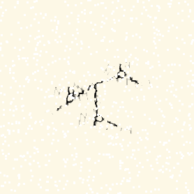 N#CC(C#N)=C1CC(OCCO)CC(NCCOCCN(CCOCCNC2=C(C#N)C(=C(C#N)C#N)CC(OCCO)C2)CCOCCNC2=C(C#N)C(=C(C#N)C#N)CC(OCCO)C2)=C1C#N